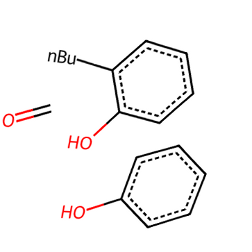 C=O.CCCCc1ccccc1O.Oc1ccccc1